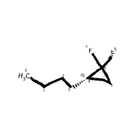 CCCC[C@H]1CC1(F)F